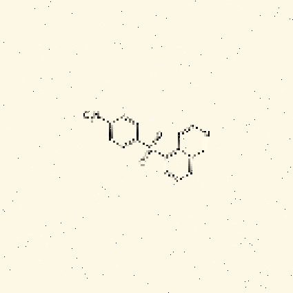 O=[N+]([O-])c1ccc(S(=O)(=O)c2cccc3cnccc23)cc1